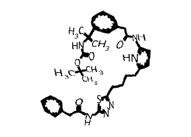 CC(C)(C)OC(=O)NC(C)(C)c1cccc(CC(=O)Nc2ccc(CCCCc3nnc(NC(=O)Cc4ccccc4)s3)[nH]2)c1